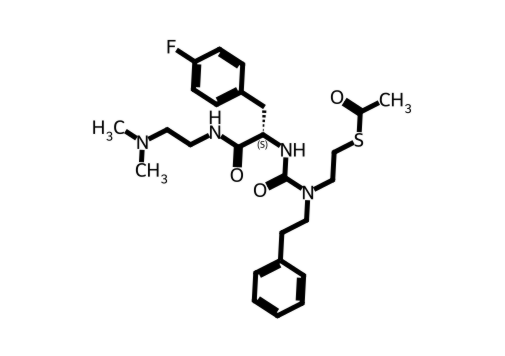 CC(=O)SCCN(CCc1ccccc1)C(=O)N[C@@H](Cc1ccc(F)cc1)C(=O)NCCN(C)C